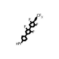 CCCc1ccc(-c2cc(F)c(-c3cc(F)c(C#CC(F)(F)F)c(F)c3)c(F)c2)cc1